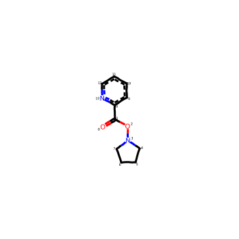 O=C(ON1CCCC1)c1ccccn1